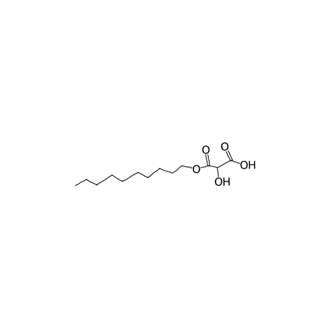 CCCCCCCCCCOC(=O)C(O)C(=O)O